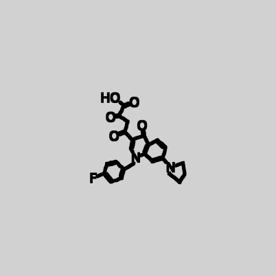 O=C(O)C(=O)CC(=O)c1cn(Cc2ccc(F)cc2)c2cc(N3CCCC3)ccc2c1=O